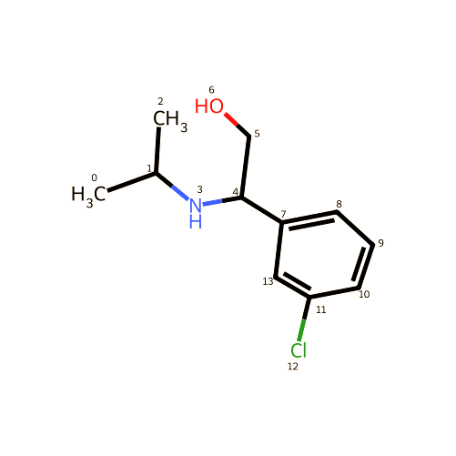 CC(C)NC(CO)c1cccc(Cl)c1